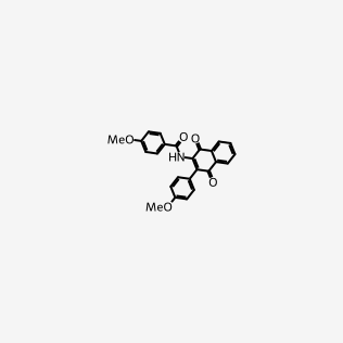 COc1ccc(C(=O)NC2=C(c3ccc(OC)cc3)C(=O)c3ccccc3C2=O)cc1